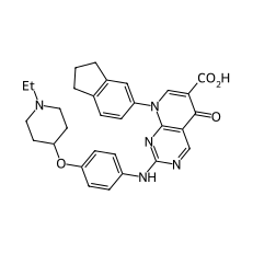 CCN1CCC(Oc2ccc(Nc3ncc4c(=O)c(C(=O)O)cn(-c5ccc6c(c5)CCC6)c4n3)cc2)CC1